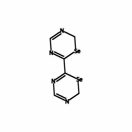 C1=NC[Se]C(C2=NC=NC[Se]2)=N1